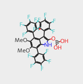 COc1c(OC)c(-c2c(F)c(F)c(F)c(F)c2F)c2c(-c3c(F)c(F)c(F)c(F)c3F)c(OB(O)O)[nH]c2c1-c1c(F)c(F)c(F)c(F)c1F